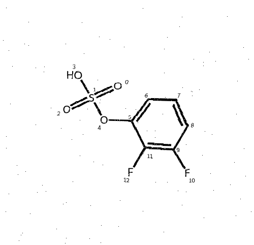 O=S(=O)(O)Oc1cccc(F)c1F